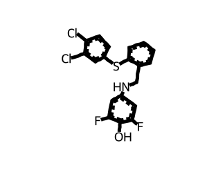 Oc1c(F)cc(NCc2ccccc2Sc2ccc(Cl)c(Cl)c2)cc1F